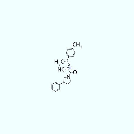 Cc1ccc(C(C)/C=C(\C#N)C(=O)N2CCC(c3ccccc3)C2)cc1